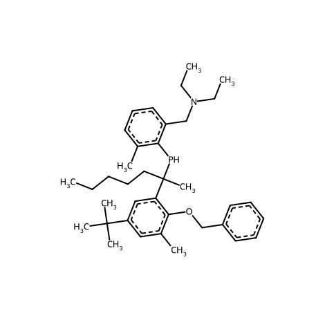 CCCCCC(C)(Pc1c(C)cccc1CN(CC)CC)c1cc(C(C)(C)C)cc(C)c1OCc1ccccc1